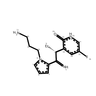 CC[C@@H](C(=N)c1cccn1CCCN)c1cc(F)c[nH]c1=O